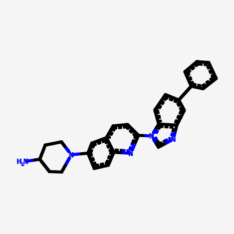 NC1CCN(c2ccc3nc(-n4cnc5cc(-c6ccccc6)ccc54)ccc3c2)CC1